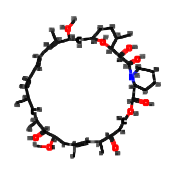 COC1CC(C)=CC(C)C(=O)CCOC(=O)C2CCCCN2C(=O)C(=O)C2OC(CCC2C)CC(OC)C(C)=CC=CC=CC(C)CC(C)C1=O